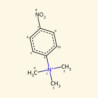 C[N+](C)(C)c1ccc([N+](=O)[O-])cc1